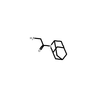 NCC(=O)N1C2CC3CC(C2)CC1C3